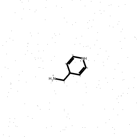 NCC1C=CNC=C1